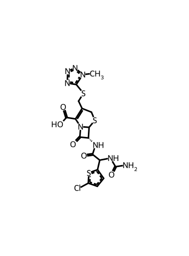 Cn1nnnc1SCC1=C(C(=O)O)N2C(=O)[C@@H](NC(=O)C(NC(N)=O)c3ccc(Cl)s3)C2SC1